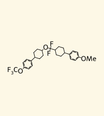 COc1ccc(C2CCC(C(F)(F)OC3CCC(c4ccc(OC(F)(F)F)cc4)CC3)CC2)cc1